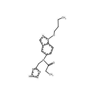 CCCCOn1ncc2cc(N(Cc3nn[nH]n3)C(=O)CC)ccc21